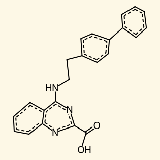 O=C(O)c1nc(NCCc2ccc(-c3ccccc3)cc2)c2ccccc2n1